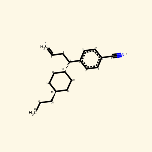 C=CCC(c1ccc(C#N)cc1)[C@H]1CC[C@H](CCC)CC1